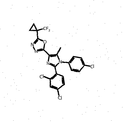 Cc1c(-c2nnc(C3(C(F)(F)F)CC3)o2)nc(-c2ccc(Cl)cc2Cl)n1-c1ccc(Cl)cc1